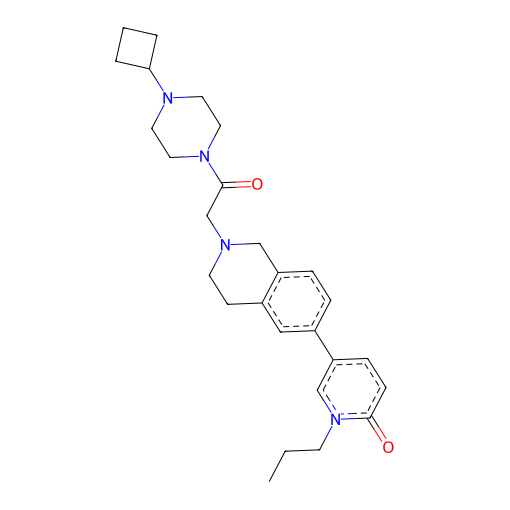 CCCn1cc(-c2ccc3c(c2)CCN(CC(=O)N2CCN(C4CCC4)CC2)C3)ccc1=O